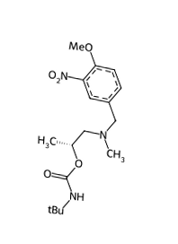 COc1ccc(CN(C)C[C@@H](C)OC(=O)NC(C)(C)C)cc1[N+](=O)[O-]